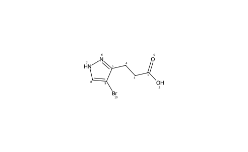 O=C(O)CCc1n[nH]cc1Br